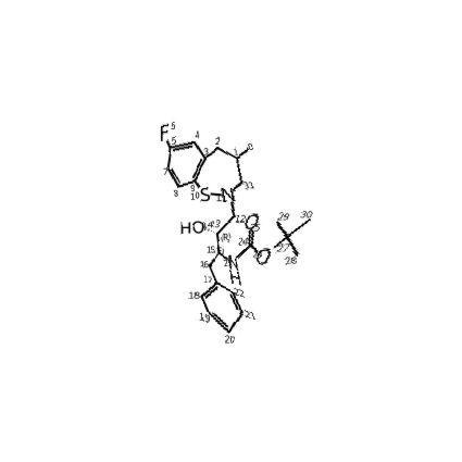 CC1Cc2cc(F)ccc2SN(C[C@@H](O)[C@H](Cc2ccccc2)NC(=O)OC(C)(C)C)C1